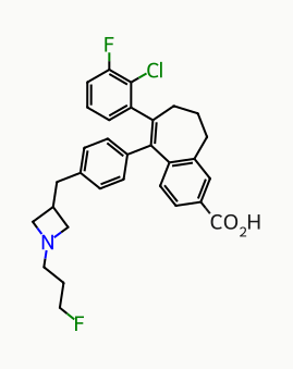 O=C(O)c1ccc2c(c1)CCCC(c1cccc(F)c1Cl)=C2c1ccc(CC2CN(CCCF)C2)cc1